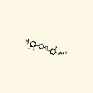 CCCCCc1ccc(COC2CCC(c3ccc(OCC)c(F)c3F)CC2)cc1F